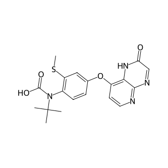 CSc1cc(Oc2ccnc3ncc(=O)[nH]c23)ccc1N(C(=O)O)C(C)(C)C